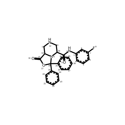 O=C(Nc1cccc(F)c1)C1CNCC2C(=O)OC(c3ccccc3)(c3ccccc3)N12